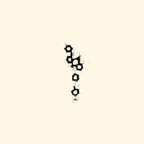 CCCCc1ccc(Nc2cccc3c2C2CC2(O)C2=CC=CC(SC4=CCC(OCC5=CCC(OC(C)C)C=C5)C=C4)C2C3O)cc1